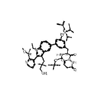 CCn1c(-c2cccnc2[C@H](C)OC)c(CC(C)(C)CO)c2cc(-c3cc(C[C@H](NC(=O)OC(C)(C)C)C(=O)N4C=CCC(=O)N4)cc(O[Si](C(C)C)(C(C)C)C(C)C)c3)ccc21